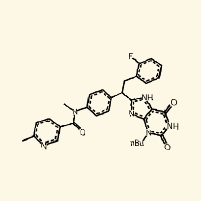 CCCCn1c(=O)[nH]c(=O)c2[nH]c(C(Cc3ccccc3F)c3ccc(N(C)C(=O)c4ccc(C)nc4)cc3)nc21